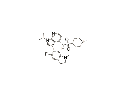 CC(C)n1cc(-c2cc3c(cc2F)CCN3C)c2c(NS(=O)(=O)C3CCN(C)CC3)ccnc21